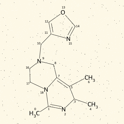 CC1=NC(C)C(C)=C2CN(Cc3cocn3)CCN12